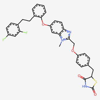 Cn1c(COc2ccc(CC3SC(=O)NC3=O)cc2)nc2ccc(Oc3ccccc3CCc3ccc(F)cc3F)cc21